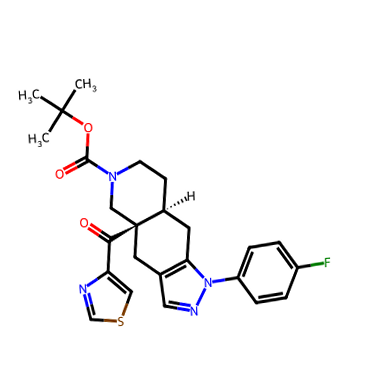 CC(C)(C)OC(=O)N1CC[C@H]2Cc3c(cnn3-c3ccc(F)cc3)C[C@]2(C(=O)c2cscn2)C1